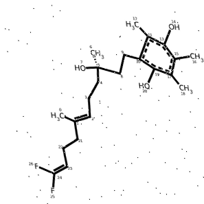 C/C(=C\CC[C@@](C)(O)CCc1c(C)c(O)c(C)c(C)c1O)CCC=C(F)F